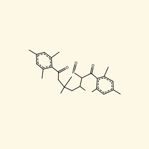 Cc1cc(C)c(C(=O)CC(C)(C)CC(C)C(P=O)C(=O)c2c(C)cc(C)cc2C)c(C)c1